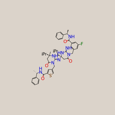 CC(C)C[C@]1(/N=C2\N[C@](C)(C(C)C)CC(=O)N2Cc2csc(C(=O)N[C@@H](C)c3ccccc3)c2)CC(=O)N(Cc2cc(F)cc(C(=O)N[C@H](C)c3ccccc3)c2)C(=N)N1